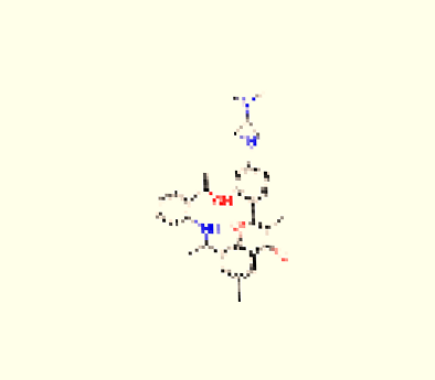 C=C(O)c1ccccc1NC(C)c1cc(C)cc2c(=O)c(C)c(-c3ccc(N4CC(N(C)C)C4)cc3)oc12